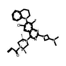 C=CC(=O)N1C[C@H](C)N(c2nc(N3CC(N(C)C)C3)nc3c(F)c(N4CCCc5ccccc54)c(Cl)cc23)C[C@H]1C